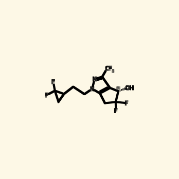 O[C@H]1c2c(C(F)(F)F)nn(CCC3CC3(F)F)c2CC1(F)F